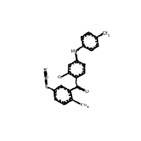 Cc1ccc(N=[N+]=[N-])cc1C(=O)c1ccc(Nc2ccc(C(F)(F)F)cc2)cc1Cl